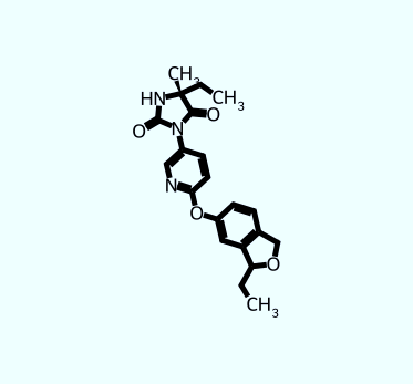 CCC1OCc2ccc(Oc3ccc(N4C(=O)N[C@](C)(CC)C4=O)cn3)cc21